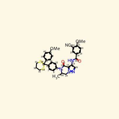 COc1ccc(C2(c3ccc(N4C(=O)c5c(NC(=O)c6ccc(OC)c(C#N)c6)cnn5CC4C)cc3)SCCCS2)cc1